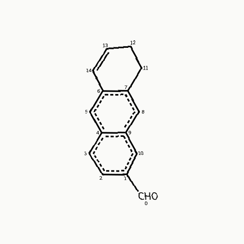 O=Cc1ccc2cc3c(cc2c1)CCC=C3